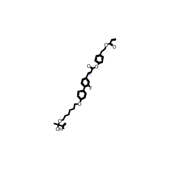 C=CC(=O)OCCc1ccc(OC(=O)/C=C/c2ccc(-c3ccc(OCCCCCCOC(C)(O)C(=C)C)cc3)c(F)c2)cc1